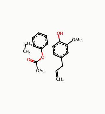 C=CCc1ccc(O)c(OC)c1.CC(=O)OC(=O)Oc1ccccc1.[CH2]C